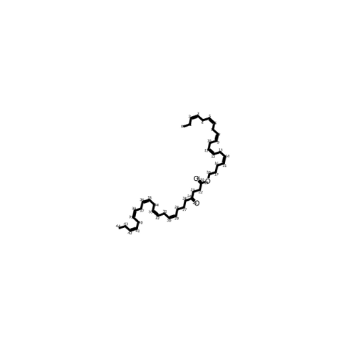 CC/C=C\C/C=C\C/C=C\C/C=C\C/C=C\CCCOC(=O)CCC(=O)CCC/C=C\C/C=C\C/C=C\C/C=C\C/C=C\CC